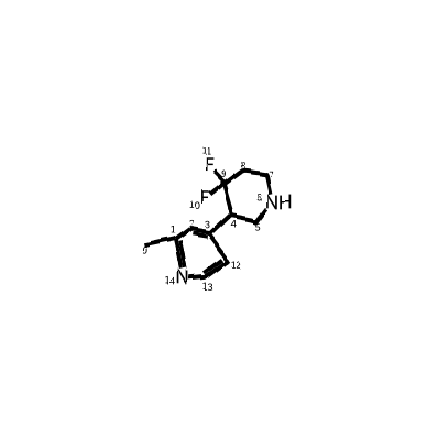 Cc1cc(C2CNCCC2(F)F)ccn1